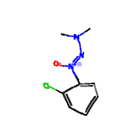 CN(C)/N=[N+](\[O-])c1ccccc1Cl